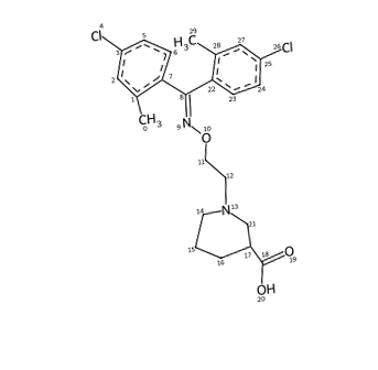 Cc1cc(Cl)ccc1C(=NOCCN1CCCC(C(=O)O)C1)c1ccc(Cl)cc1C